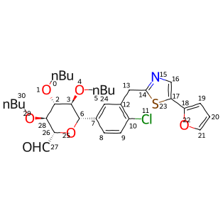 CCCCO[C@@H]1[C@@H](OCCCC)[C@H](c2ccc(Cl)c(Cc3ncc(-c4ccco4)s3)c2)O[C@H](C=O)[C@H]1OCCCC